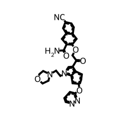 N#Cc1ccc2cc(OCC(=O)c3cn(CCN4CCOCC4)c4cc(Oc5cccnn5)ccc34)c(C(N)=O)cc2c1